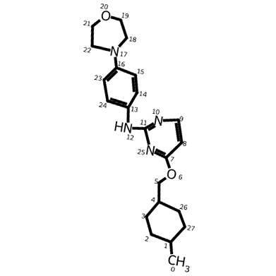 CC1CCC(COc2ccnc(Nc3ccc(N4CCOCC4)cc3)n2)CC1